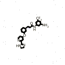 Nc1cc(NC(=O)/C=C/c2cccc(Oc3ccnc(C4=NCCN4)c3)c2)cc(C(F)(F)F)c1